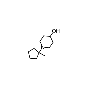 CC1(N2CCC(O)CC2)CCCC1